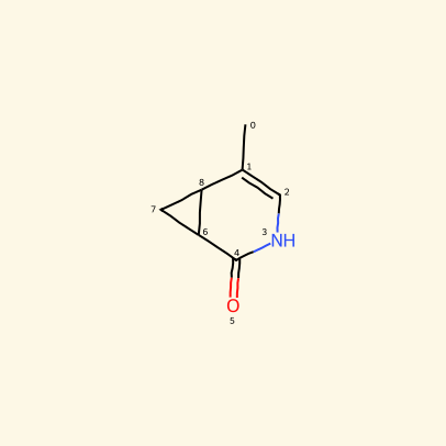 CC1=CNC(=O)C2CC12